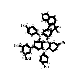 CC(C)(C)c1ccc(N2c3ccc(C(C)(C)C)cc3B3c4cc5c(cc4N(c4ccc(C(C)(C)C)cc4)c4cc(-c6cc(C(C)(C)C)cc(C(C)(C)C)c6)cc2c43)-c2c(ccc3c2CCC3)C5(C)C)cc1